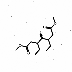 CCC(CC(=O)OC)C(=O)C(CC)CC(=O)OC